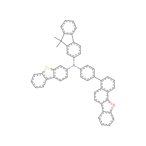 CC1(C)c2ccccc2-c2ccc(N(c3ccc(-c4cccc5c4ccc4c6ccccc6oc54)cc3)c3ccc4c(c3)sc3ccccc34)cc21